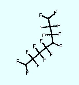 F[C](F)C(F)(F)C(F)(F)C(F)C(F)(F)C(F)(F)C(F)(F)C(F)F